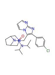 CC(C)N(C(=O)N1C2CCC1CN(Cc1c(-c3ccc(Cl)cc3)nc3ncccn13)C2)C(C)C